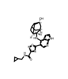 O=C(NCC1CC1)c1noc(-c2cnc3[nH]ccc3c2N[C@H]2[C@@H]3CC4C[C@H]2C[C@@](O)(C4)C3)n1